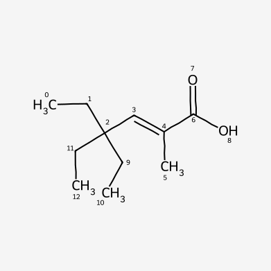 CCC(/C=C(\C)C(=O)O)(CC)CC